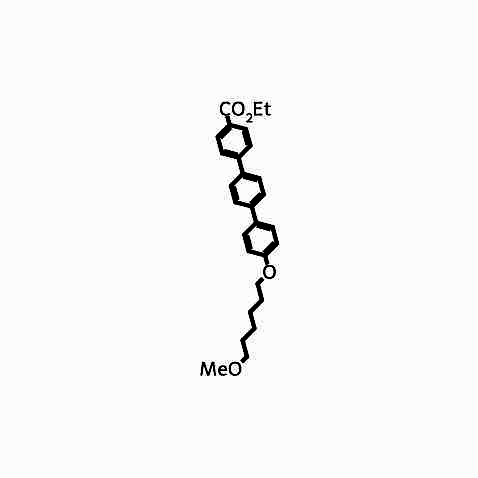 CCOC(=O)c1ccc(-c2ccc(-c3ccc(OCCCCCCOC)cc3)cc2)cc1